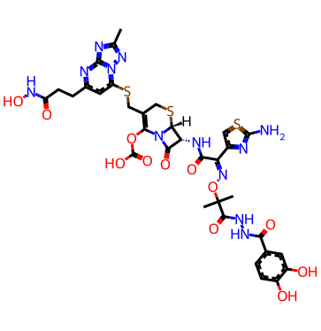 Cc1nc2nc(CCC(=O)NO)cc(SCC3=C(OC(=O)O)N4C(=O)[C@@H](NC(=O)/C(=N\OC(C)(C)C(=O)NNC(=O)c5ccc(O)c(O)c5)c5csc(N)n5)[C@H]4SC3)n2n1